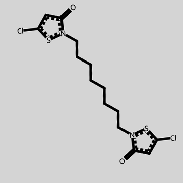 O=c1cc(Cl)sn1CCCCCCCCn1sc(Cl)cc1=O